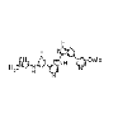 COc1cncc(-c2cnc3[nH]nc(-c4cc5c(-c6cc(F)cc(NCCN(C)C)c6)cncc5[nH]4)c3c2)c1